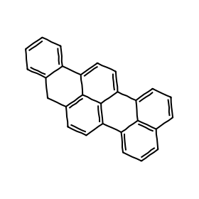 c1ccc2c(c1)Cc1ccc3c4cccc5cccc(c6ccc-2c1c36)c54